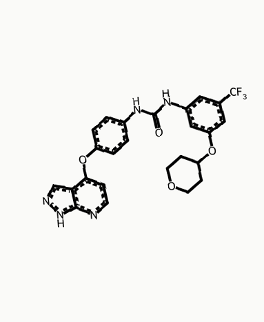 O=C(Nc1ccc(Oc2ccnc3[nH]ncc23)cc1)Nc1cc(OC2CCOCC2)cc(C(F)(F)F)c1